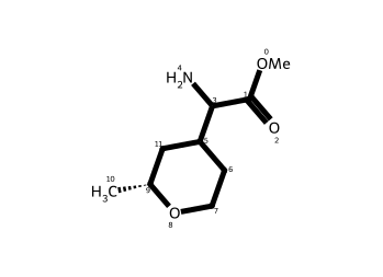 COC(=O)C(N)C1CCO[C@H](C)C1